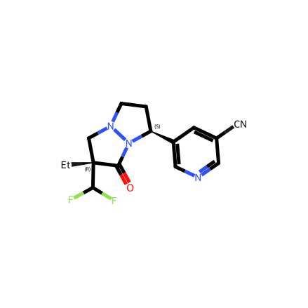 CC[C@@]1(C(F)F)CN2CC[C@@H](c3cncc(C#N)c3)N2C1=O